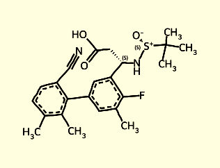 Cc1ccc(C#N)c(-c2cc(C)c(F)c([C@H](CC(=O)O)N[S@+]([O-])C(C)(C)C)c2)c1C